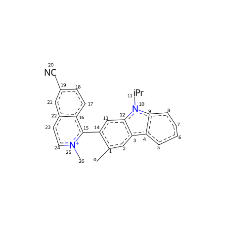 Cc1cc2c3ccccc3n(C(C)C)c2cc1-c1c2ccc(C#N)cc2cc[n+]1C